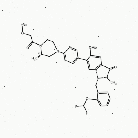 COc1cc2c(=O)n(C)n(Cc3ccccc3OC(F)F)c2cc1-c1cnc(N2CCN(C(=O)COC(C)(C)C)[C@H](C)C2)nc1